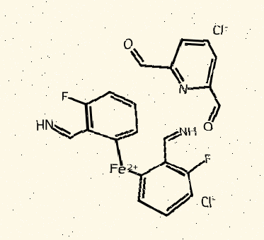 N=Cc1c(F)ccc[c]1[Fe+2][c]1cccc(F)c1C=N.O=Cc1cccc(C=O)n1.[Cl-].[Cl-]